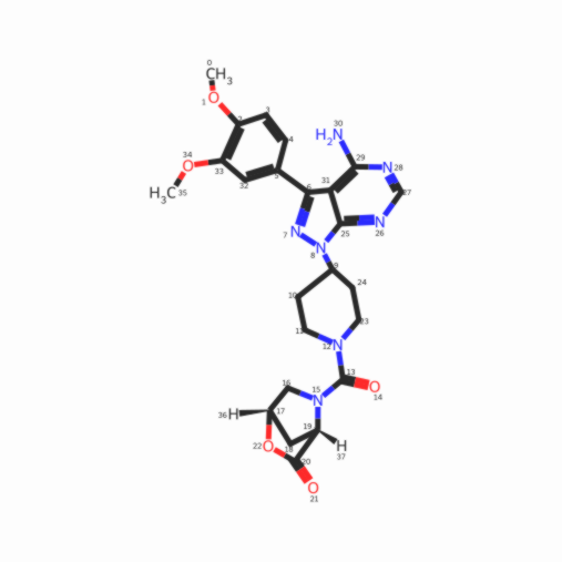 COc1ccc(-c2nn(C3CCN(C(=O)N4C[C@@H]5C[C@H]4C(=O)O5)CC3)c3ncnc(N)c23)cc1OC